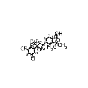 CC1(C)OB(O)c2ccc(C3=NO[C@@](c4cc(Cl)cc(Cl)c4)(C(F)(F)F)C3)cc21